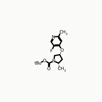 Cc1cc(O[C@@H]2C[C@H](C)N(C(=O)OC(C)(C)C)C2)c(F)cn1